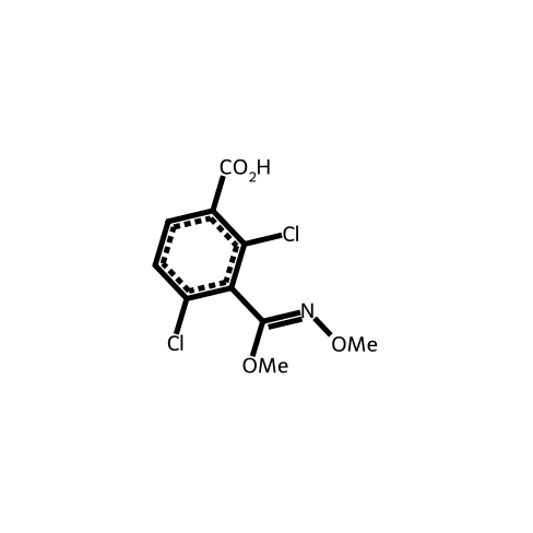 CON=C(OC)c1c(Cl)ccc(C(=O)O)c1Cl